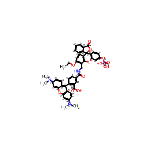 CCOc1ccc2c(c1CNC(=O)c1ccc(-c3c4ccc(=[N+](C)C)cc-4oc4cc(N(C)C)ccc34)c(C(=O)O)c1)Oc1cc(OP(=O)(O)O)ccc1C21OC(=O)c2ccccc21